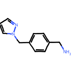 NCc1ccc(Cn2cccn2)cc1